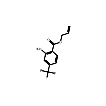 C=CCOC(=O)c1ccc(C(F)(F)F)cc1N